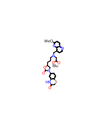 COc1ccc2nccc(CN(CCCC3CN(c4ccc5c(c4)NC(=O)CS5)C(=O)O3)CC(=O)OC(C)(C)C)c2n1